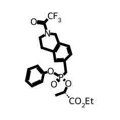 CCOC(=O)[C@H](C)OP(=O)(Cc1ccc2c(c1)CCN(C(=O)C(F)(F)F)C2)Oc1ccccc1